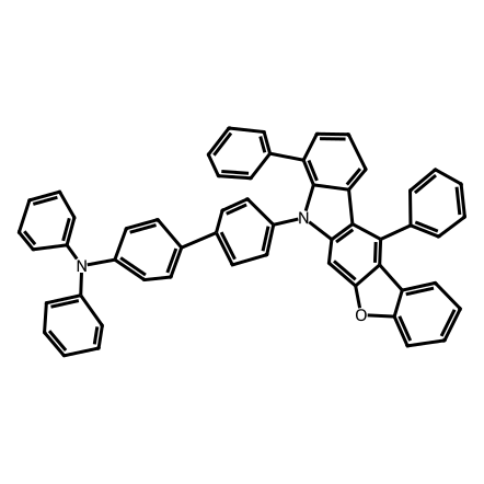 c1ccc(-c2c3c(cc4c2c2cccc(-c5ccccc5)c2n4-c2ccc(-c4ccc(N(c5ccccc5)c5ccccc5)cc4)cc2)oc2ccccc23)cc1